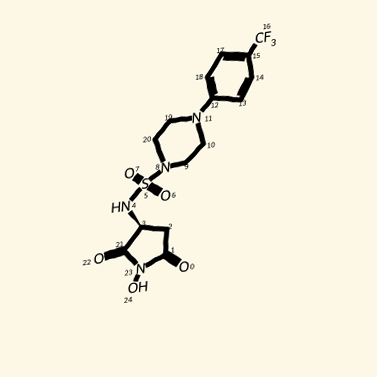 O=C1C[C@H](NS(=O)(=O)N2CCN(c3ccc(C(F)(F)F)cc3)CC2)C(=O)N1O